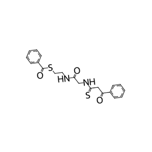 O=C(CNC(=S)CC(=O)c1ccccc1)NCCSC(=O)c1ccccc1